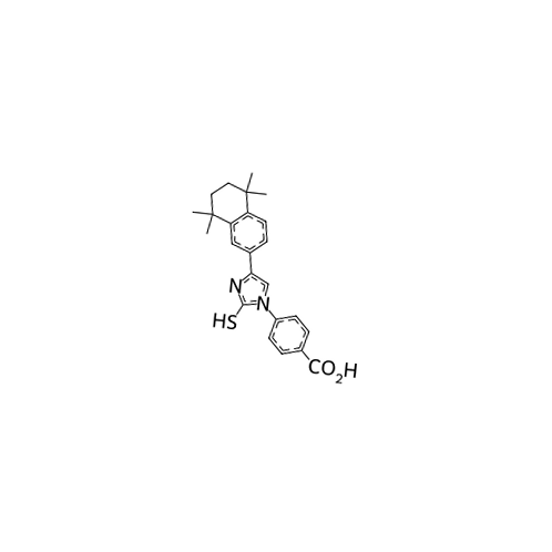 CC1(C)CCC(C)(C)c2cc(-c3cn(-c4ccc(C(=O)O)cc4)c(S)n3)ccc21